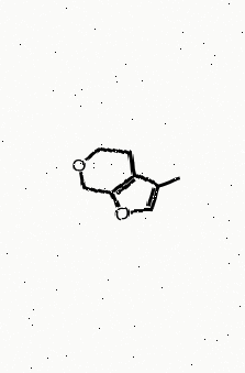 Cc1coc2c1CCOC2